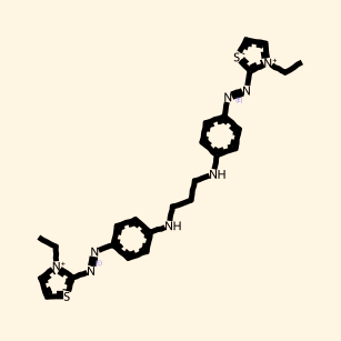 CC[n+]1ccsc1/N=N/c1ccc(NCCCNc2ccc(/N=N/c3scc[n+]3CC)cc2)cc1